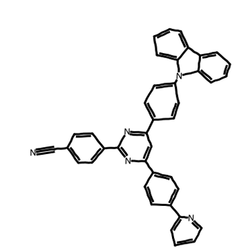 N#Cc1ccc(-c2nc(-c3ccc(-c4ccccn4)cc3)cc(-c3ccc(-n4c5ccccc5c5ccccc54)cc3)n2)cc1